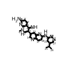 CN/C=C(\C(=N)c1ccc(N)nc1)c1cnc2ccc(Nc3cc(C(C)C)cnn3)nc2c1